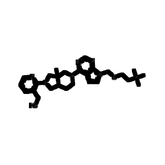 CC12CN(c3ncccc3CO)CC1CCN(c1ncnc3c1ccn3COCC[Si](C)(C)C)C2